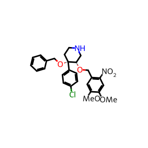 COc1cc(CO[C@H]2CNCC[C@]2(OCc2ccccc2)c2ccc(Cl)cc2)c([N+](=O)[O-])cc1OC